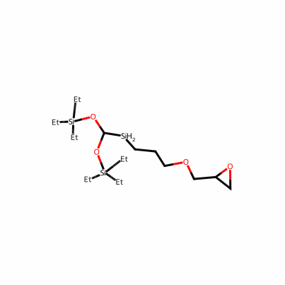 CC[Si](CC)(CC)OC(O[Si](CC)(CC)CC)[SiH2]CCCOCC1CO1